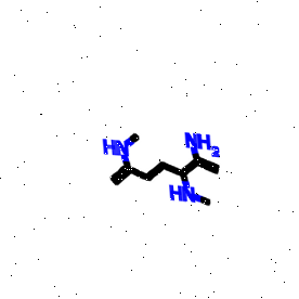 C=C(CCC(NC)C(=C)N)NC